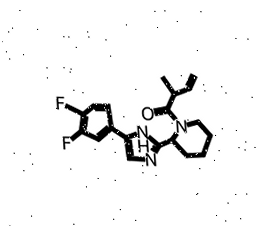 C=CC(C)C(=O)N1CCCCC1c1ncc(-c2ccc(F)c(F)c2)[nH]1